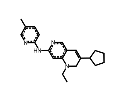 CCN1CC(C2CCCC2)=Cc2cnc(Nc3ccc(C)cn3)cc21